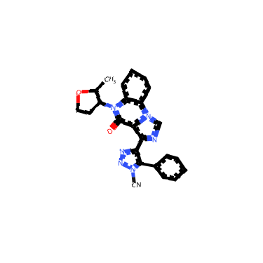 CC1OCCC1n1c(=O)c2c(-c3nnn(C#N)c3-c3ccccc3)ncn2c2ccccc21